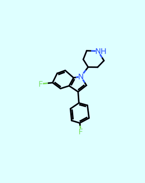 Fc1ccc(-c2cn(C3CCNCC3)c3ccc(F)cc23)cc1